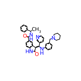 C[C@@H](NC(=O)c1ccc2c(c1)/C(=C(/Nc1cccc(CN3CCCCC3)c1)c1cccnc1)C(=O)N2)c1ccccc1